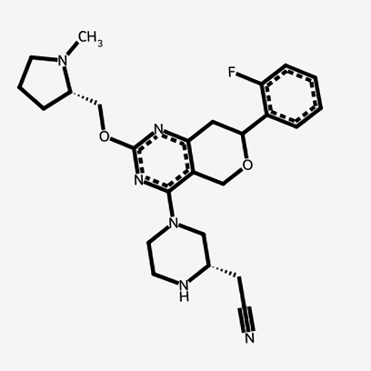 CN1CCC[C@H]1COc1nc2c(c(N3CCN[C@@H](CC#N)C3)n1)COC(c1ccccc1F)C2